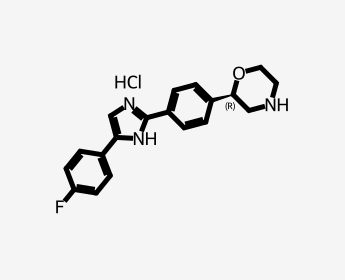 Cl.Fc1ccc(-c2cnc(-c3ccc([C@@H]4CNCCO4)cc3)[nH]2)cc1